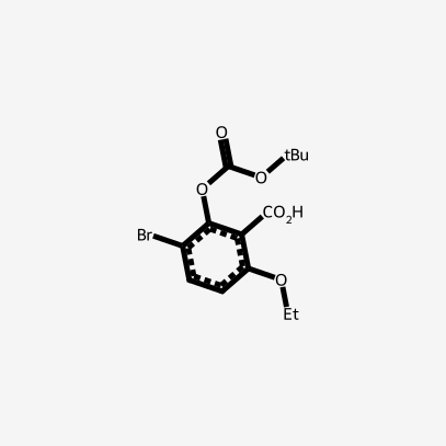 CCOc1ccc(Br)c(OC(=O)OC(C)(C)C)c1C(=O)O